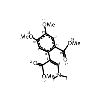 COC(=O)C(=CN(C)C)c1cc(OC)c(OC)cc1C(=O)OC